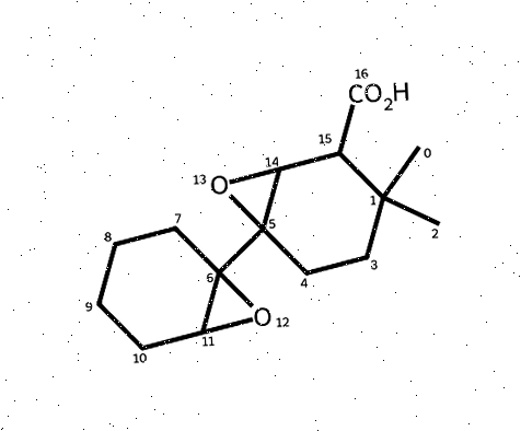 CC1(C)CCC2(C34CCCCC3O4)OC2C1C(=O)O